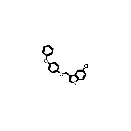 Clc1ccc2scc(COc3ccc(Oc4ccccc4)cc3)c2c1